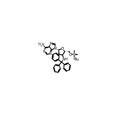 CC(C)(C)[Si](C)(C)OC[C@H]1O[C@@H](n2cnc3c(N)ncnc32)CC1NC(c1ccccc1)(c1ccccc1)c1ccccc1